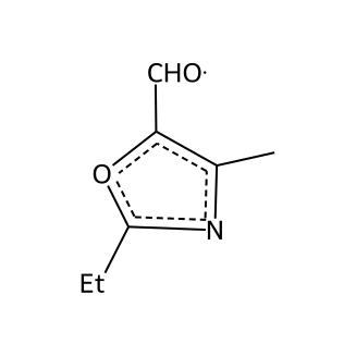 CCc1nc(C)c([C]=O)o1